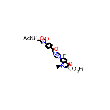 CC(=O)NCC1CN(c2ccc(C(=O)CN3CCN(c4cc5c(cc4F)c(=O)c(C(=O)O)cn5C4CC4)CC3)cc2)C(=O)O1